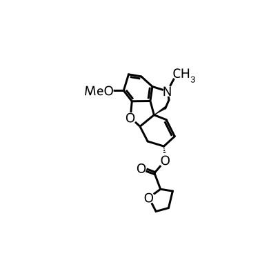 COc1ccc2c3c1OC1C[C@@H](OC(=O)C4CCCO4)C=C[C@@]31CCN2C